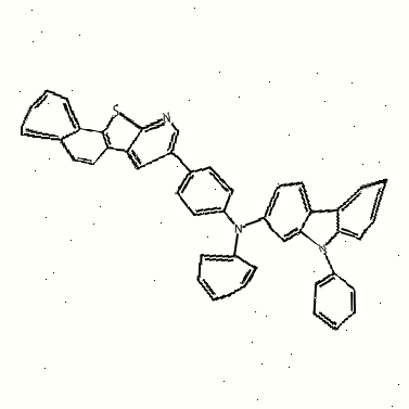 c1ccc(N(c2ccc(-c3cnc4sc5c6ccccc6ccc5c4c3)cc2)c2ccc3c4ccccc4n(-c4ccccc4)c3c2)cc1